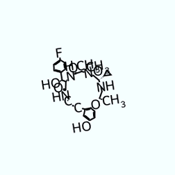 C[C@@H]1CN[C@@H](C2CC2)C(=O)N(C)[C@H](C)C(=O)N[C@H]([C@@H](O)c2ccc(F)cc2)C(=O)NCCCc2cc(O)ccc2O1